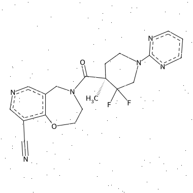 C[C@]1(C(=O)N2CCOc3c(C#N)cncc3C2)CCN(c2ncccn2)CC1(F)F